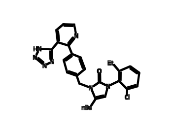 CCCCc1cn(-c2c(Cl)cccc2CC)c(=O)n1Cc1ccc(-c2ncccc2-c2nnn[nH]2)cc1